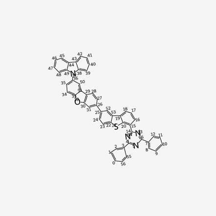 c1ccc(-c2nc(-c3ccccc3)nc(-c3cccc4c3sc3ccc(-c5ccc6c(c5)oc5ccc(-n7c8ccccc8c8ccccc87)cc56)cc34)n2)cc1